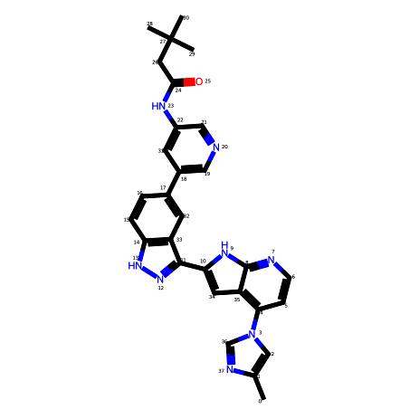 Cc1cn(-c2ccnc3[nH]c(-c4n[nH]c5ccc(-c6cncc(NC(=O)CC(C)(C)C)c6)cc45)cc23)cn1